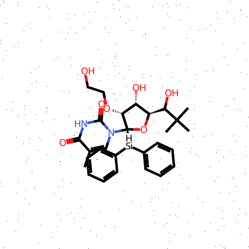 Cc1cn([C@]2([SiH](c3ccccc3)c3ccccc3)O[C@H](C(O)C(C)(C)C)[C@@H](O)[C@H]2OCCO)c(=O)[nH]c1=O